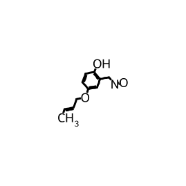 C/C=C/COc1ccc(O)c(CN=O)c1